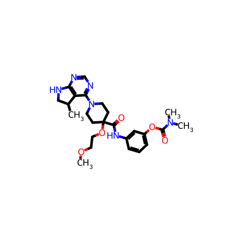 COCCOC1(C(=O)Nc2cccc(OC(=O)N(C)C)c2)CCN(c2ncnc3c2C(C)CN3)CC1